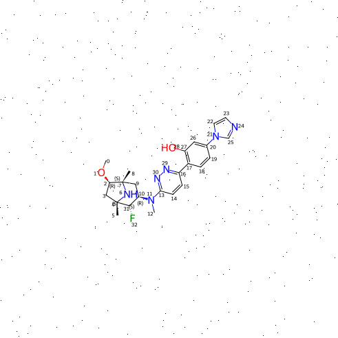 CO[C@@H]1C[C@]2(C)N[C@@]1(C)C[C@@H](N(C)c1ccc(-c3ccc(-n4ccnc4)cc3O)nn1)[C@@H]2F